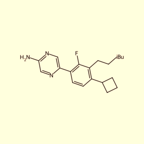 CCC(C)CCc1c(C2CCC2)ccc(-c2cnc(N)cn2)c1F